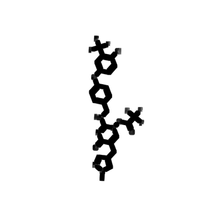 Cn1cc(Cc2cn(OC(=O)C(F)(F)F)c(NCc3ccc(Oc4ccc(Cl)c(C(F)(F)F)c4)cc3)nc2=O)cn1